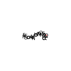 Cc1cccc(N2C(=O)CS/C2=N\C(=O)NC2(c3ccc(-c4ncn(-c5ccc(OC(F)(F)F)cc5)n4)cc3)CC2)c1C(C)C